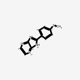 CSc1ccc(-c2nc3nccnc3[nH]2)cc1